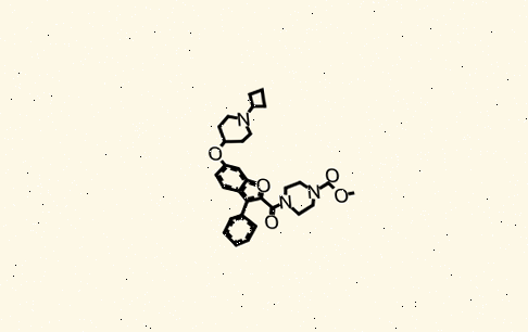 COC(=O)N1CCN(C(=O)c2oc3cc(OC4CCN(C5CCC5)CC4)ccc3c2-c2ccccc2)CC1